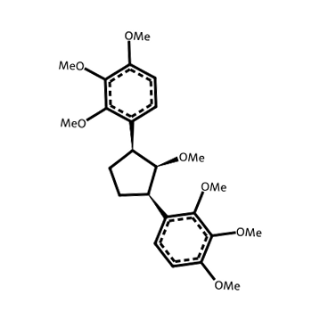 COc1ccc([C@H]2CC[C@@H](c3ccc(OC)c(OC)c3OC)[C@H]2OC)c(OC)c1OC